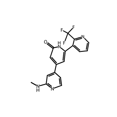 CNc1cc(-c2cc(-c3cccnc3C(F)(F)F)[nH]c(=O)c2)ccn1